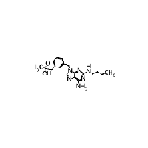 CCCCNc1nc(N)c2ncn(Cc3cccc(CP(C)(=O)O)c3)c2n1